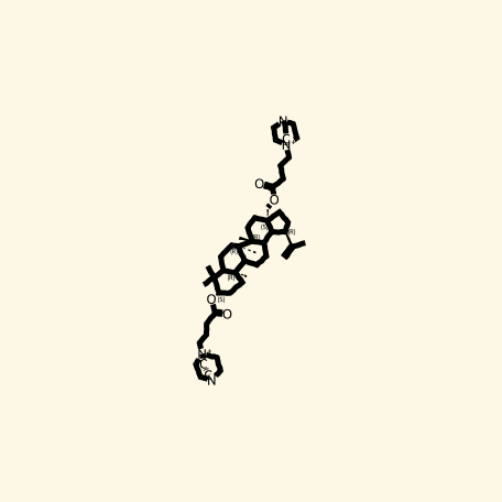 C=C(C)[C@@H]1CC[C@]2(COC(=O)CCC[N+]34CCN(CC3)CC4)CC[C@]3(C)C(CCC4[C@@]5(C)CC[C@H](OC(=O)CCC[N+]67CCN(CC6)CC7)C(C)(C)C5CC[C@]43C)C12